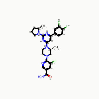 C[C@@H]1CN(c2ncc(C(N)=O)cc2Cl)CCN1c1cc(-c2ccc(F)c(Cl)c2)nc(N2CCC[C@H]2C)n1